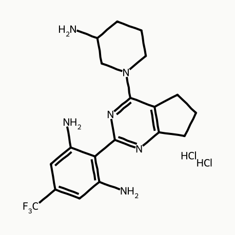 Cl.Cl.Nc1cc(C(F)(F)F)cc(N)c1-c1nc2c(c(N3CCCC(N)C3)n1)CCC2